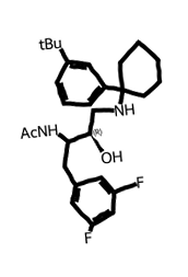 CC(=O)NC(Cc1cc(F)cc(F)c1)[C@H](O)CNC1(c2cccc(C(C)(C)C)c2)CCCCC1